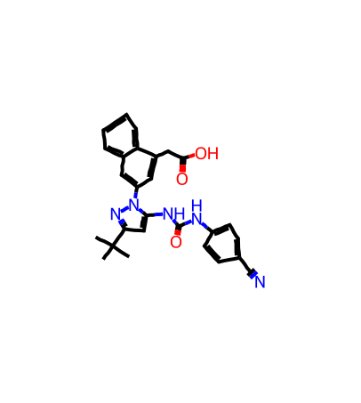 CC(C)(C)c1cc(NC(=O)Nc2ccc(C#N)cc2)n(-c2cc(CC(=O)O)c3ccccc3c2)n1